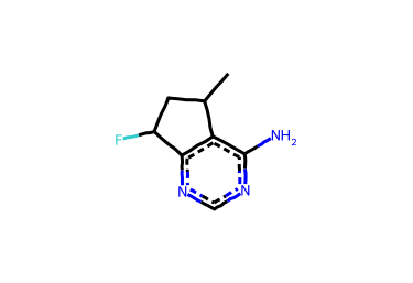 CC1CC(F)c2ncnc(N)c21